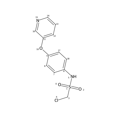 O=S(=O)(CCl)Nc1ccc(Oc2cccnc2)cc1